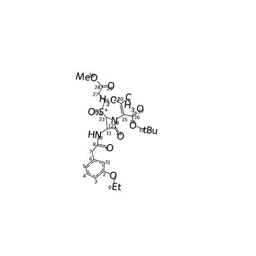 CCOc1cccc(CC(=O)NC2C(=O)N(C(C(=O)OC(C)(C)C)=C(C)C)C2[S+]([O-])CCC(=O)OC)c1